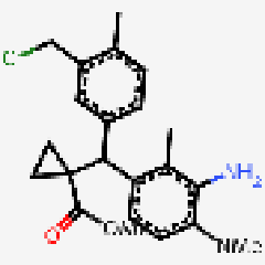 CNc1ccc(C(c2ccc(C)c(CCl)c2)C2(C(=O)OC)CC2)c(C)c1N